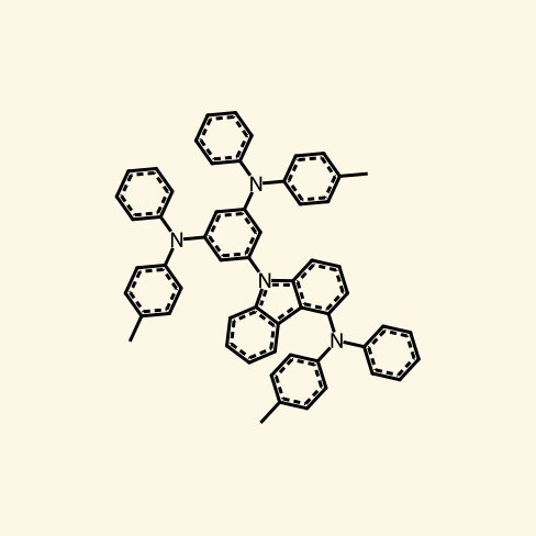 Cc1ccc(N(c2ccccc2)c2cc(N(c3ccccc3)c3ccc(C)cc3)cc(-n3c4ccccc4c4c(N(c5ccccc5)c5ccc(C)cc5)cccc43)c2)cc1